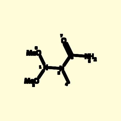 CON(OC)N(C)C(N)=O